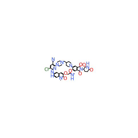 CNC(=O)COc1cc2cc(Nc3nc(N4CCN(CC5CCN(c6ccc7c(c6)C(=O)N(C6CCC(=O)NC6=O)C7=O)CC5)CC4)c(C#N)cc3Cl)ccc2n(C)c1=O